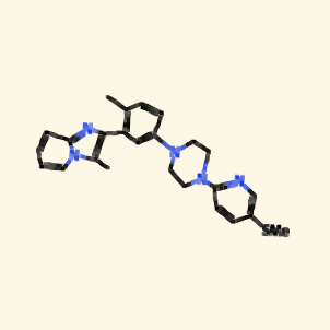 CSc1ccc(N2CCN(c3ccc(C)c(-c4nc5ccccn5c4C)c3)CC2)nc1